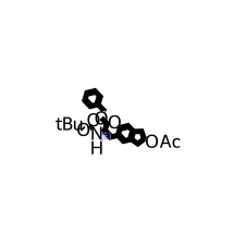 CC(=O)OC1Cc2ccc(/C=C(/NC(=O)OC(C)(C)C)C(=O)OCc3ccccc3)cc2C1